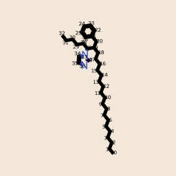 CCCCCCCCCCCCCCCCCCCC(Cc1ccccc1)C(CCCCC)n1ccnc1